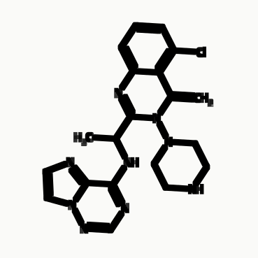 C=C1c2c(Cl)cccc2N=C(C(C)Nc2ncnn3ccnc23)N1N1CCNCC1